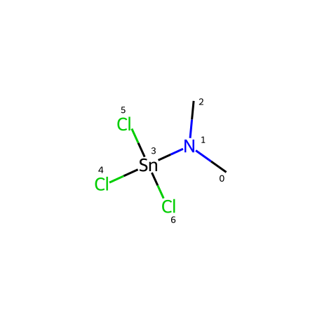 C[N](C)[Sn]([Cl])([Cl])[Cl]